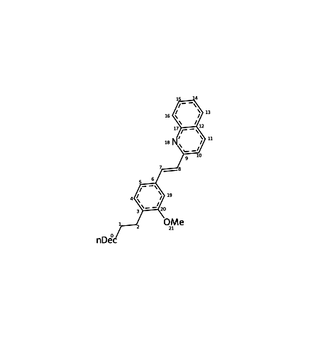 CCCCCCCCCCCCc1ccc(C=Cc2ccc3ccccc3n2)cc1OC